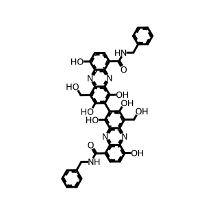 O=C(NCc1ccccc1)c1ccc(O)c2nc3c(CO)c(O)c(-c4c(O)c(CO)c5nc6c(O)ccc(C(=O)NCc7ccccc7)c6nc5c4O)c(O)c3nc12